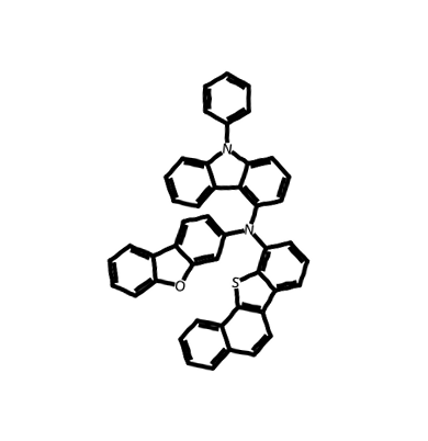 c1ccc(-n2c3ccccc3c3c(N(c4ccc5c(c4)oc4ccccc45)c4cccc5c4sc4c6ccccc6ccc54)cccc32)cc1